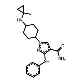 CC1(NC2CCC(n3cc(C(N)=O)c(Nc4ccccc4)n3)CC2)CC1